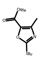 COC(=O)c1oc(C(C)(C)C)nc1C